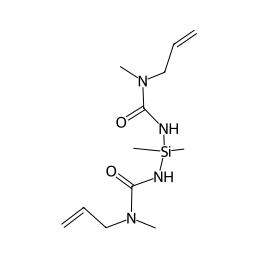 C=CCN(C)C(=O)N[Si](C)(C)NC(=O)N(C)CC=C